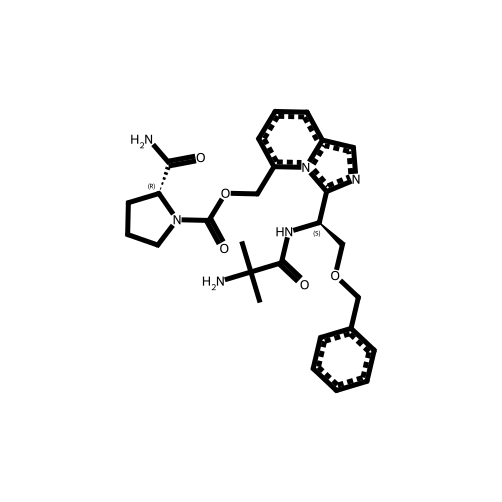 CC(C)(N)C(=O)N[C@H](COCc1ccccc1)c1ncc2cccc(COC(=O)N3CCC[C@@H]3C(N)=O)n12